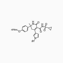 CCCCCCOc1ccc(C2(C)CC(c3ccn(C(C)C)c3)=C(C(=O)NS(=O)(=O)C3CC3)C(=O)N2)cc1